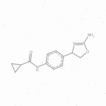 NC1=NC(c2ccc(NC(=O)C3CC3)cc2)CO1